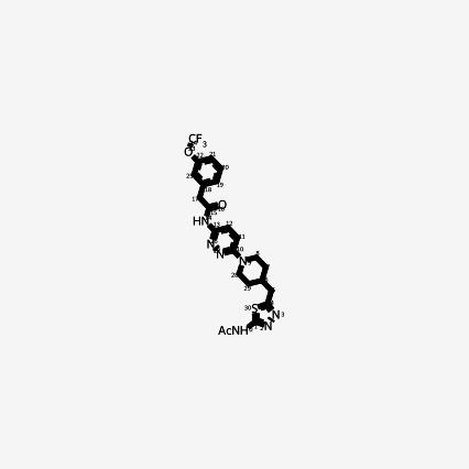 CC(=O)Nc1nnc(CC2CCN(c3ccc(NC(=O)Cc4cccc(OC(F)(F)F)c4)nn3)CC2)s1